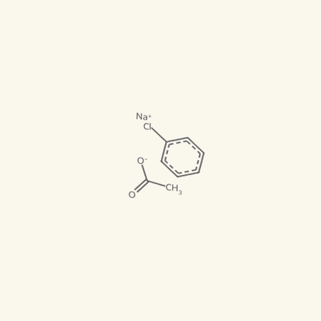 CC(=O)[O-].Clc1ccccc1.[Na+]